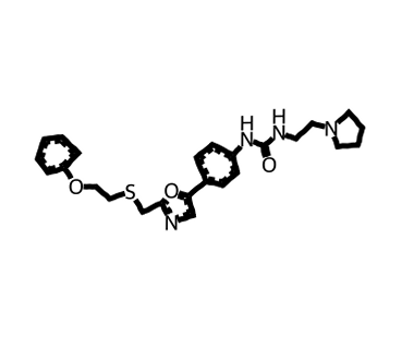 O=C(NCCN1CCCC1)Nc1ccc(-c2cnc(CSCCOc3ccccc3)o2)cc1